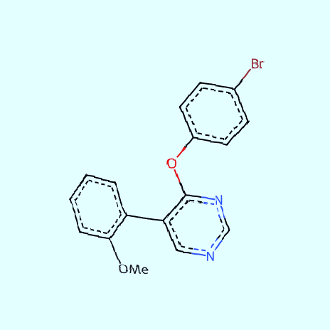 COc1ccccc1-c1cncnc1Oc1ccc(Br)cc1